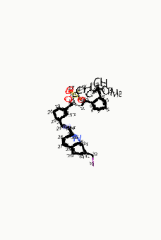 COC(C)(C)c1ccccc1CC[C@@H](OS(C)(=O)=O)c1cccc(/C=C/c2ccc3ccc(CI)cc3n2)c1